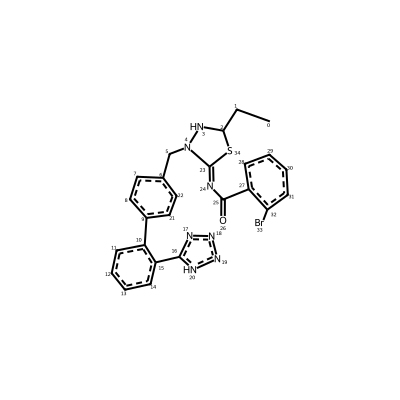 CCC1NN(Cc2ccc(-c3ccccc3-c3nnn[nH]3)cc2)C(=NC(=O)c2ccccc2Br)S1